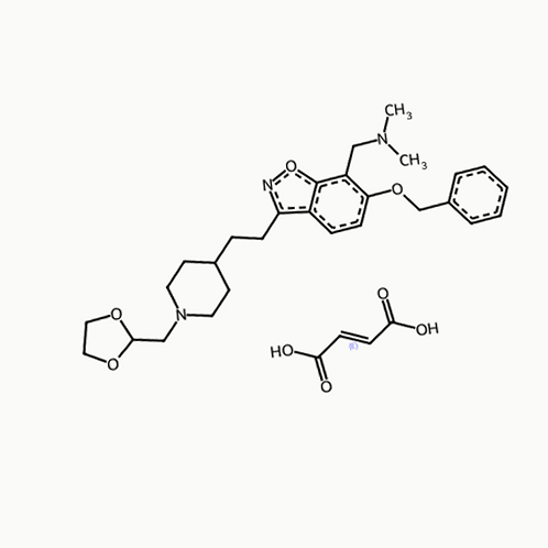 CN(C)Cc1c(OCc2ccccc2)ccc2c(CCC3CCN(CC4OCCO4)CC3)noc12.O=C(O)/C=C/C(=O)O